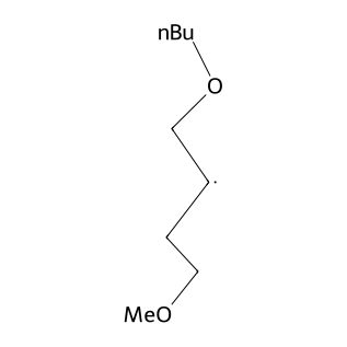 CCCCOC[CH]CCOC